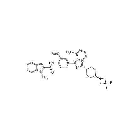 COc1cc(-c2nc([C@H]3CC[C@H](N4CC(F)(F)C4)CC3)n3ccnc(C)c23)ccc1NC(=O)c1cc2ccccc2n1C